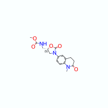 COC(=O)NC[C@H]1CN(c2ccc3c(c2)CCC(=O)N3C)C(=O)O1